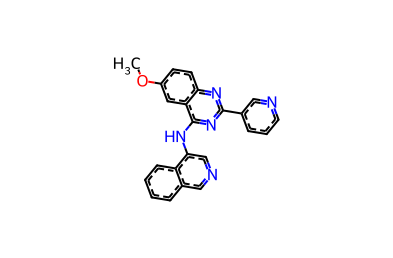 COc1ccc2nc(-c3cccnc3)nc(Nc3cncc4ccccc34)c2c1